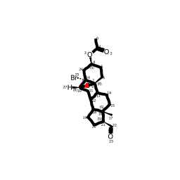 CC(=O)O[C@H]1CC[C@]23CO[C@H](CC4C2CC[C@@]2(C)C4CC[C@@H]2C=O)[C@@]3(Br)C1